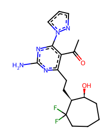 CC(=O)c1c(CC[C@H]2[C@@H](O)CCCCC2(F)F)nc(N)nc1-n1cccn1